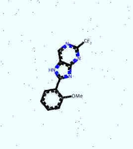 COc1ccccc1-c1nc2nc(C(F)(F)F)ncc2[nH]1